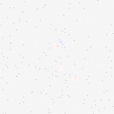 COc1ccc2c(Oc3ccc(CCC(=O)NN4CCCCC4)cc3)c(-c3ccc(O)cc3)ccc2c1